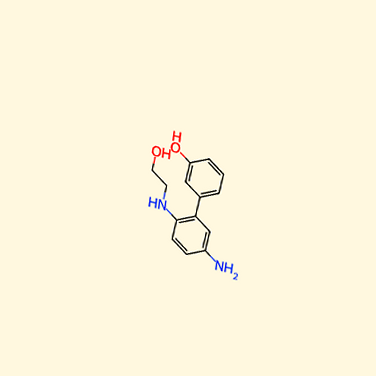 Nc1ccc(NCCO)c(-c2cccc(O)c2)c1